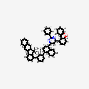 CC1(C)c2cc3ccccc3cc2-c2cccc(-c3cccc(-c4ccc(-c5cc(-c6cccc7oc8ccccc8c67)nc(-c6ccccc6)n5)c5ccccc45)c3)c21